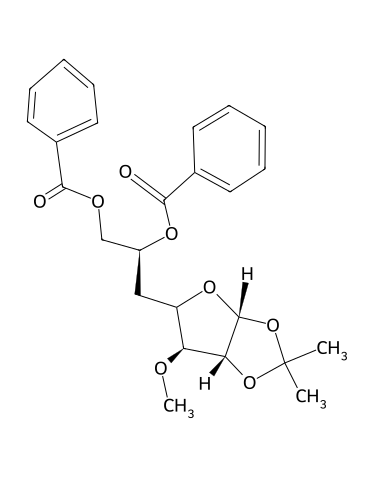 CO[C@H]1C(C[C@@H](COC(=O)c2ccccc2)OC(=O)c2ccccc2)O[C@@H]2OC(C)(C)O[C@@H]21